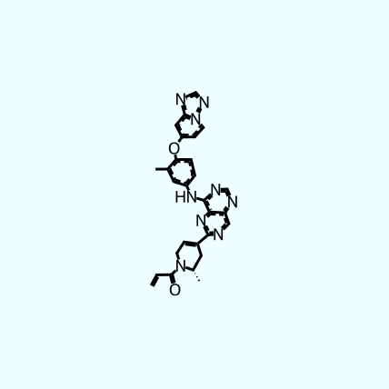 C=CC(=O)N1CC=C(c2ncc3ncnc(Nc4ccc(Oc5ccn6ncnc6c5)c(C)c4)c3n2)C[C@@H]1C